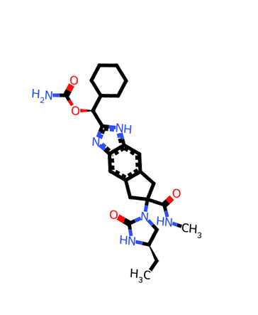 CC[C@@H]1CN(C2(C(=O)NC)Cc3cc4nc([C@@H](OC(N)=O)C5CCCCC5)[nH]c4cc3C2)C(=O)N1